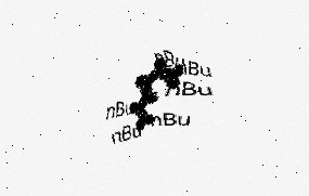 CCCCc1ccc(N(c2ccc(CCCC)cc2)c2ccc(N(c3ccc(CCCC)cc3)c3ccc(N(c4ccc(C)cc4)c4ccc(N(c5ccc(C)cc5)c5ccc(N(c6ccc(CCCC)cc6)c6ccc(N(c7ccc(CCCC)cc7)c7ccc(CCCC)cc7)cc6)cc5)cc4)cc3)cc2)cc1